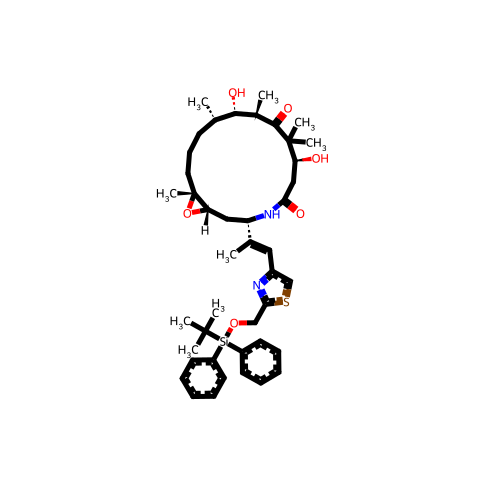 CC(=Cc1csc(CO[Si](c2ccccc2)(c2ccccc2)C(C)(C)C)n1)[C@@H]1C[C@@H]2O[C@]2(C)CCC[C@H](C)[C@H](O)[C@@H](C)C(=O)C(C)(C)[C@@H](O)CC(=O)N1